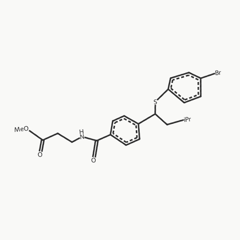 COC(=O)CCNC(=O)c1ccc(C(CC(C)C)Sc2ccc(Br)cc2)cc1